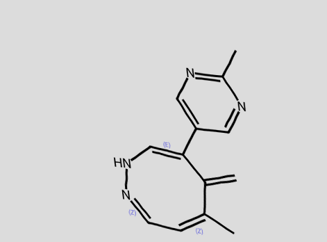 C=C1/C(C)=C\C=N/N/C=C\1c1cnc(C)nc1